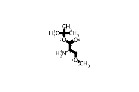 COC[C@H](N)C(=O)OC(C)(C)C